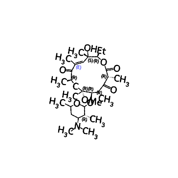 CC[C@H]1OC(=O)[C@H](C)C(=O)[C@H](C)[C@@H](OC2OC(C)CC(N(C)C)[C@H]2C)[C@](C)(OC)C[C@@H](C)C(=O)/C(C)=C/[C@]1(C)O